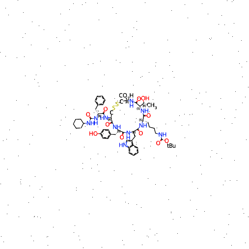 C[C@@H](O)[C@@H]1NC(=O)[C@H](CCCCNC(=O)OC(C)(C)C)NC(=O)[C@@H](Cc2c[nH]c3ccccc23)NC(=O)[C@H](Cc2ccc(O)cc2)NC(=O)[C@@H](NC(=O)[C@@H](Cc2ccccc2)NC(=O)NC2CCCCC2)CSSC[C@@H](C(=O)O)NC1=O